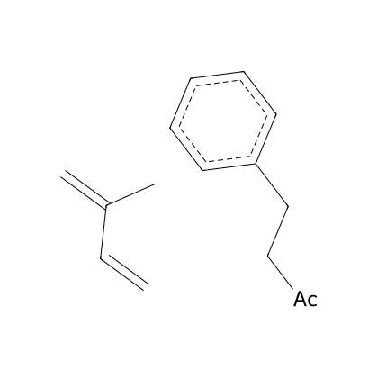 C=CC(=C)C.CC(=O)CCc1ccccc1